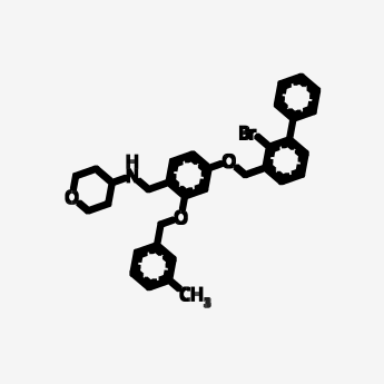 Cc1cccc(COc2cc(OCc3cccc(-c4ccccc4)c3Br)ccc2CNC2CCOCC2)c1